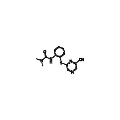 CN(C)C(=O)Nc1ccccc1Sc1cncc(C#N)n1